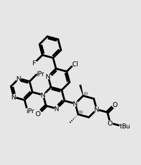 CC(C)c1ncnc(C(C)C)c1-n1c(=O)nc(N2[C@@H](C)CN(C(=O)OC(C)(C)C)C[C@@H]2C)c2cc(Cl)c(-c3ccccc3F)nc21